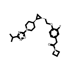 CC(C)c1noc(N2CCC([C@H]3C[C@@H]3CCOc3ccc(CC(=O)N4CCC4)cc3F)CC2)n1